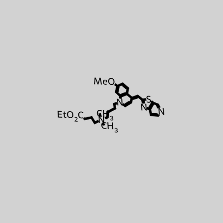 CCOC(=O)CCC[N+](C)(C)CCCCN1C=CC(=Cc2nc3ccncc3s2)c2ccc(OC)cc21